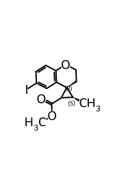 COC(=O)C1[C@H](C)[C@]12CCOc1ccc(I)cc12